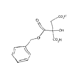 O=C(O)CC(O)(C(=O)O)C(=O)OCc1ccccc1